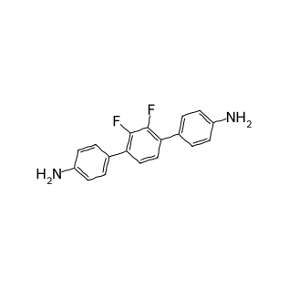 Nc1ccc(-c2ccc(-c3ccc(N)cc3)c(F)c2F)cc1